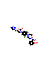 O=C(c1ccccc1O)N1CCN(c2c(F)cc(N3C[C@H](Cn4ccnn4)OC3=O)cc2F)CCO1